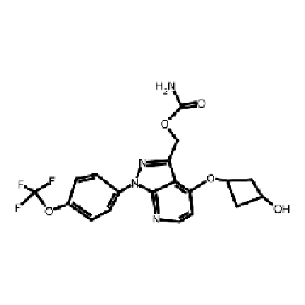 NC(=O)OCc1nn(-c2ccc(OC(F)(F)F)cc2)c2nccc(OC3CC(O)C3)c12